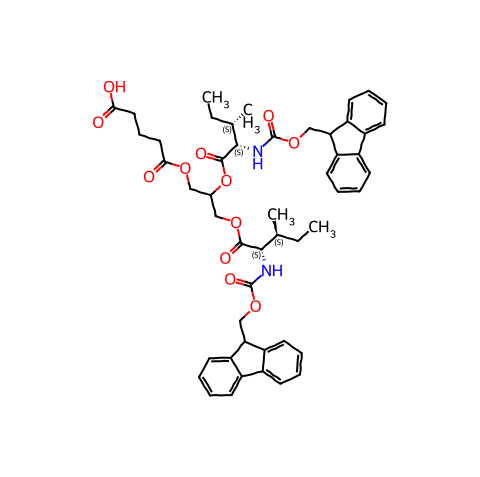 CC[C@H](C)[C@H](NC(=O)OCC1c2ccccc2-c2ccccc21)C(=O)OCC(COC(=O)CCCC(=O)O)OC(=O)[C@@H](NC(=O)OCC1c2ccccc2-c2ccccc21)[C@@H](C)CC